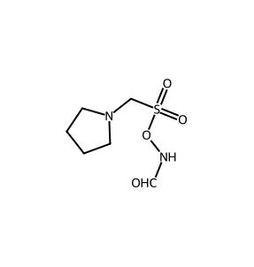 O=CNOS(=O)(=O)CN1CCCC1